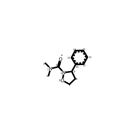 CN(C)C(=O)N1OCCC1c1ccccc1